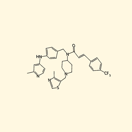 Cc1cc(Nc2ccc(CN(C(=O)C=Cc3ccc(C(F)(F)F)cc3)C3CCN(Cc4scnc4C)CC3)cc2)ccn1